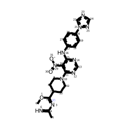 CO/C(=N\C(C)=N)C1CCN(c2ncnc(Nc3ccc(-n4cncn4)cc3)c2[N+](=O)[O-])CC1